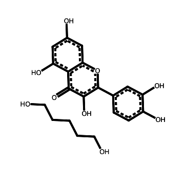 O=c1c(O)c(-c2ccc(O)c(O)c2)oc2cc(O)cc(O)c12.OCCCCCO